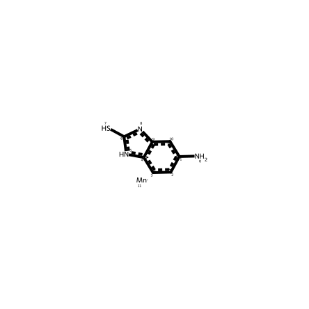 Nc1ccc2[nH]c(S)nc2c1.[Mn]